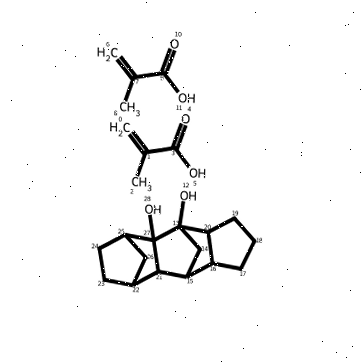 C=C(C)C(=O)O.C=C(C)C(=O)O.OC12CC(C3CCCC31)C1C3CCC(C3)C12O